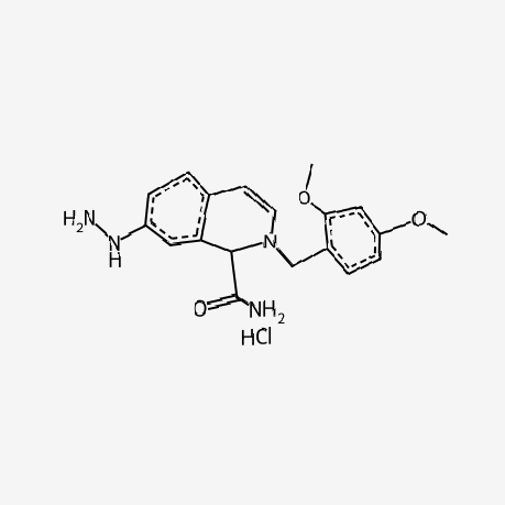 COc1ccc(CN2C=Cc3ccc(NN)cc3C2C(N)=O)c(OC)c1.Cl